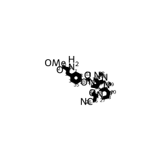 COC(=O)[C@@H](N)Cc1ccc(OC(=O)n2ccc3c(N(C)[C@H]4CN(C(=O)CC#N)CC[C@H]4C)ncnc32)cc1